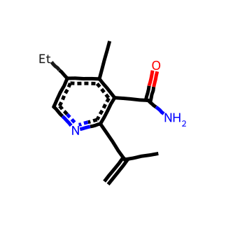 C=C(C)c1ncc(CC)c(C)c1C(N)=O